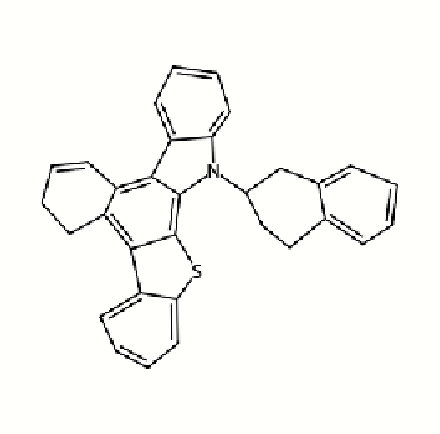 C1=Cc2c(c3c4ccccc4sc3c3c2c2ccccc2n3C2CCc3ccccc3C2)CC1